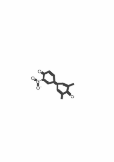 CC1=CC(=C2C=CC(=O)C([N+](=O)[O-])=C2)C=C(C)C1=O